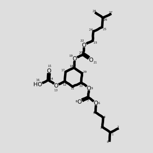 CC(C)CCCOC(=O)OC1CC(OC(=O)O)CC(OC(=O)OCCCC(C)C)C1